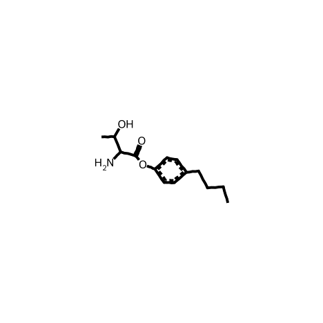 CCCCc1ccc(OC(=O)C(N)C(C)O)cc1